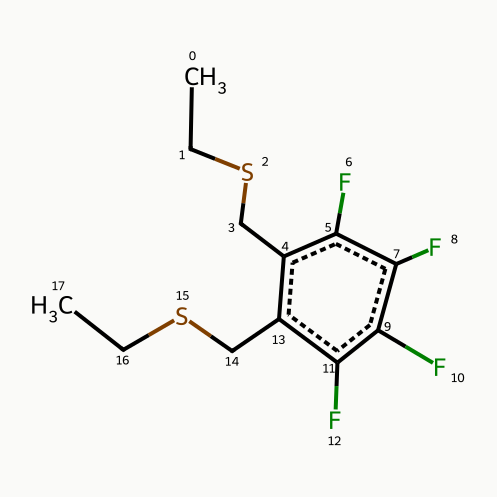 CCSCc1c(F)c(F)c(F)c(F)c1CSCC